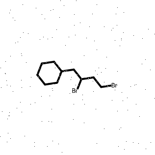 BrCCC(Br)CC1CCCCC1